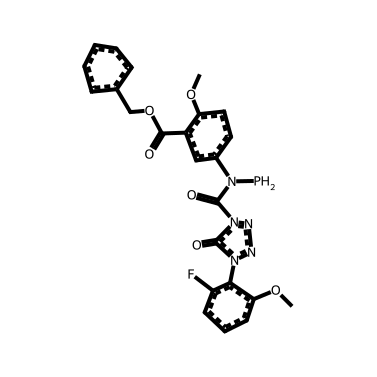 COc1ccc(N(P)C(=O)n2nnn(-c3c(F)cccc3OC)c2=O)cc1C(=O)OCc1ccccc1